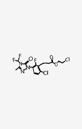 Cc1nn(-c2ccc(Cl)c(CCC(=O)OCCCl)c2F)c(=O)n1C(F)F